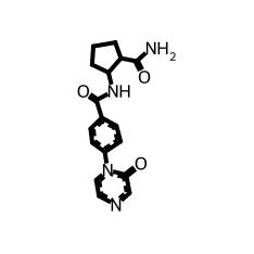 NC(=O)C1CCCC1NC(=O)c1ccc(-n2ccncc2=O)cc1